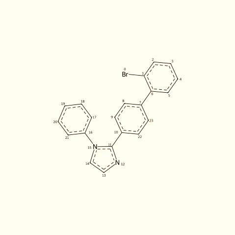 Brc1ccccc1-c1ccc(-c2nccn2-c2ccccc2)cc1